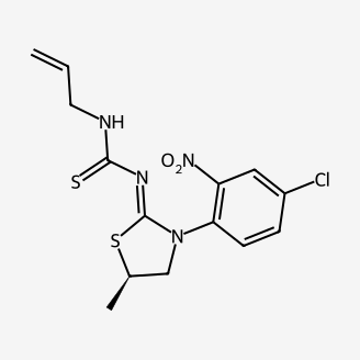 C=CCNC(=S)N=C1S[C@H](C)CN1c1ccc(Cl)cc1[N+](=O)[O-]